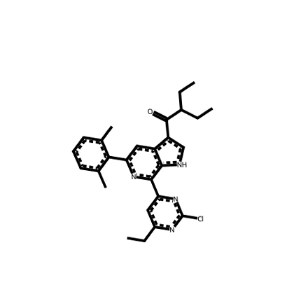 CCc1cc(-c2nc(-c3c(C)cccc3C)cc3c(C(=O)C(CC)CC)c[nH]c23)nc(Cl)n1